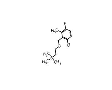 Cc1c(F)ccc(Cl)c1[CH]OCC[Si](C)(C)C